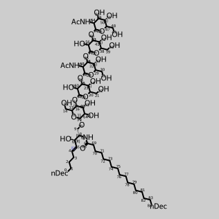 CCCCCCCCCCCCC/C=C/[C@@H](O)[C@H](CO[C@@H]1OC(CO)[C@@H](O[C@@H]2OC(CO)[C@H](O)[C@H](O[C@@H]3OC(CO)[C@@H](O)[C@H](O[C@@H]4OC(CO)[C@H](O)[C@H](O[C@@H]5OC(CO)[C@@H](O)[C@H](O)C5NC(C)=O)C4O)C3NC(C)=O)C2O)[C@H](O)C1O)NC(=O)CCCCCCCCCCCCCCCCCCCCCCCCC